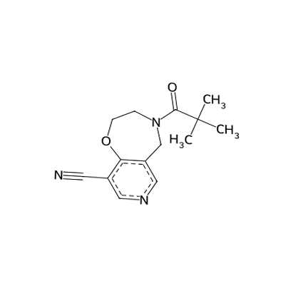 CC(C)(C)C(=O)N1CCOc2c(C#N)cncc2C1